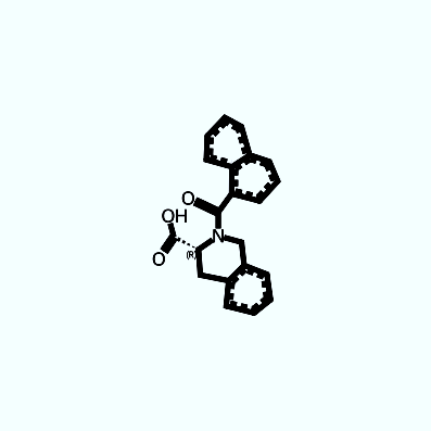 O=C(O)[C@H]1Cc2ccccc2CN1C(=O)c1cccc2ccccc12